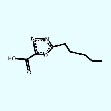 CCCCCc1nnc(C(=O)O)o1